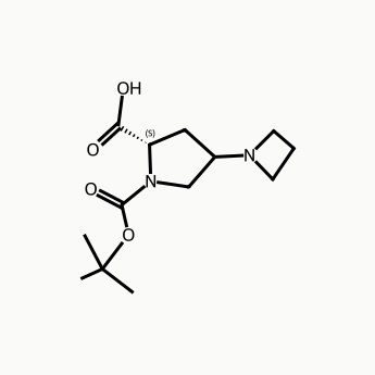 CC(C)(C)OC(=O)N1CC(N2CCC2)C[C@H]1C(=O)O